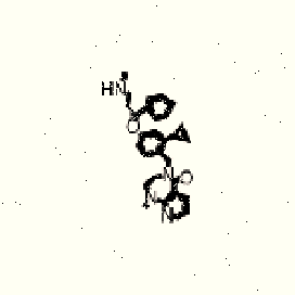 CNCC[C@H](Oc1ccc(CN2CCN(C)c3ncccc3C2=O)c(C2CC2)c1)c1ccccc1